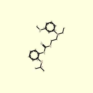 CCN(CCOC(=O)Oc1ccccc1OC(C)C)c1cccc(OC)c1